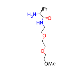 COCCOCCOCCNC(=O)[C@@H](N)C(C)C